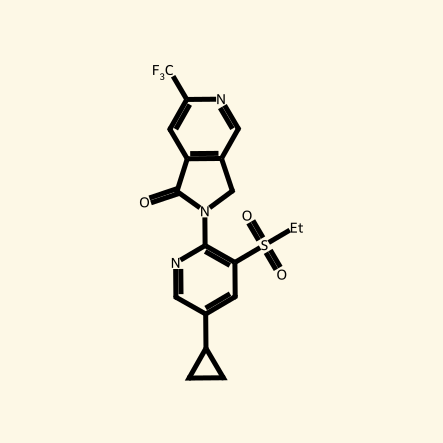 CCS(=O)(=O)c1cc(C2CC2)cnc1N1Cc2cnc(C(F)(F)F)cc2C1=O